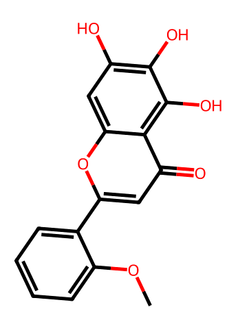 COc1ccccc1-c1cc(=O)c2c(O)c(O)c(O)cc2o1